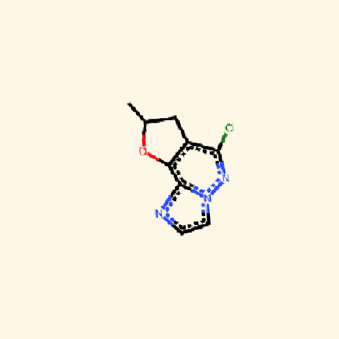 CC1Cc2c(Cl)nn3ccnc3c2O1